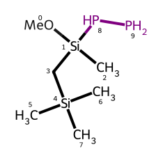 CO[Si](C)(C[Si](C)(C)C)PP